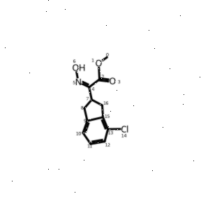 COC(=O)C(=NO)C1Cc2cccc(Cl)c2C1